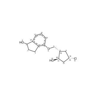 OC1CCc2c(OC[C@@H]3C[C@H](Cl)C[C@H]3O)cccc21